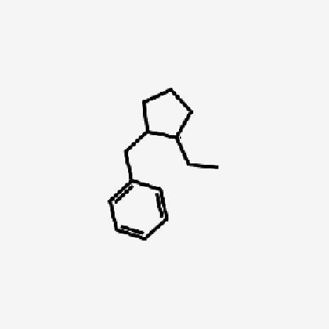 CC[C]1CCCC1Cc1ccccc1